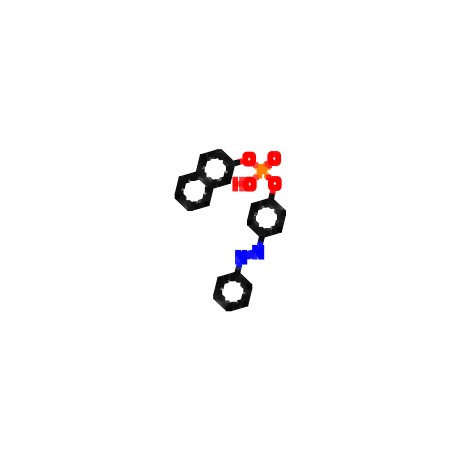 O=P(O)(Oc1ccc(N=Nc2ccccc2)cc1)Oc1ccc2ccccc2c1